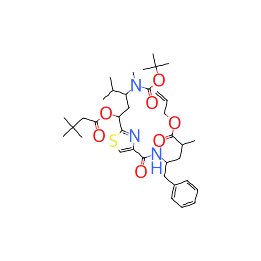 C=CCOC(=O)C(C)CC(Cc1ccccc1)NC(=O)c1csc(C(CC(C(C)C)N(C)C(=O)OC(C)(C)C)OC(=O)CC(C)(C)C)n1